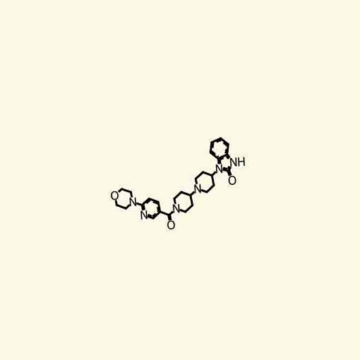 O=C(c1ccc(N2CCOCC2)nc1)N1CCC(N2CCC(n3c(=O)[nH]c4ccccc43)CC2)CC1